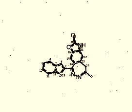 CC1=NN=C(c2cc3ccccc3s2)c2cc3oc(=O)[nH]c3cc2C1